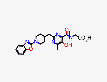 Cc1nc(CC2CCN(c3nc4ccccc4o3)CC2)nc(C(=O)NCC(=O)O)c1O